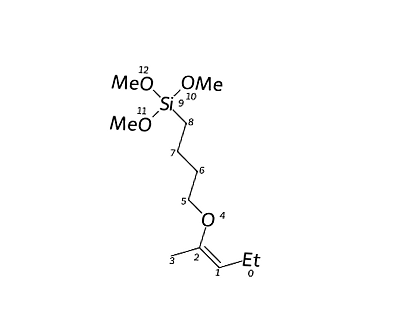 CCC=C(C)OCCCC[Si](OC)(OC)OC